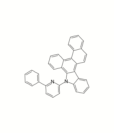 c1ccc(-c2cccc(-n3c4ccccc4c4c5ccc6ccccc6c5c5ccccc5c43)n2)cc1